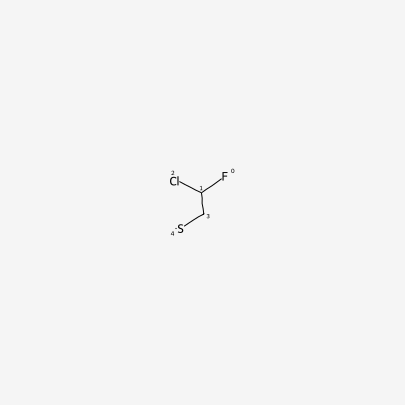 FC(Cl)C[S]